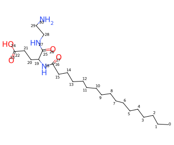 CCCCCCCCCCCCCCCCC(=O)NC(CCC(=O)O)C(=O)NCCN